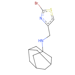 Brc1nc(CNC23CC4CC(CC(C4)C2)C3)cs1